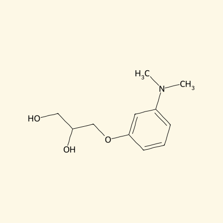 CN(C)c1cccc(OCC(O)CO)c1